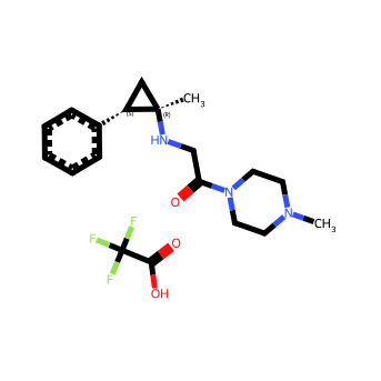 CN1CCN(C(=O)CN[C@]2(C)C[C@H]2c2ccccc2)CC1.O=C(O)C(F)(F)F